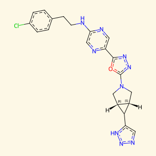 Clc1ccc(CCNc2cnc(-c3nnc(N4C[C@@H]5C(c6cnn[nH]6)[C@@H]5C4)o3)cn2)cc1